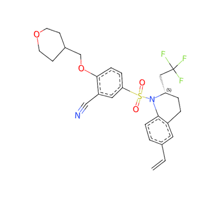 C=Cc1ccc2c(c1)CC[C@@H](CC(F)(F)F)N2S(=O)(=O)c1ccc(OCC2CCOCC2)c(C#N)c1